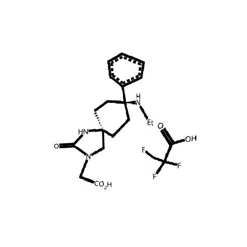 CCN[C@]1(c2ccccc2)CC[C@]2(CC1)CN(CC(=O)O)C(=O)N2.O=C(O)C(F)(F)F